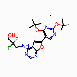 CC(C)(C)Oc1ncc(-c2cc3c(NCC(F)(F)CO)ncnc3o2)c(OC(C)(C)C)n1